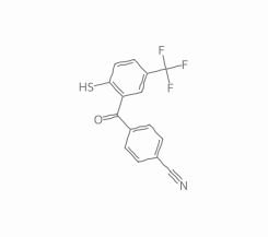 N#Cc1ccc(C(=O)c2cc(C(F)(F)F)ccc2S)cc1